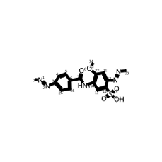 C/N=N/c1ccc(C(=O)Nc2cc(S(=O)(=O)O)c(/N=N/C)cc2OC)cc1